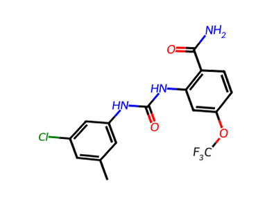 Cc1cc(Cl)cc(NC(=O)Nc2cc(OC(F)(F)F)ccc2C(N)=O)c1